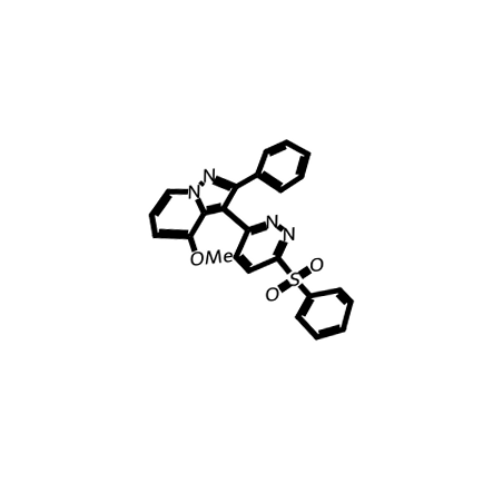 COc1cccn2nc(-c3ccccc3)c(-c3ccc(S(=O)(=O)c4ccccc4)nn3)c12